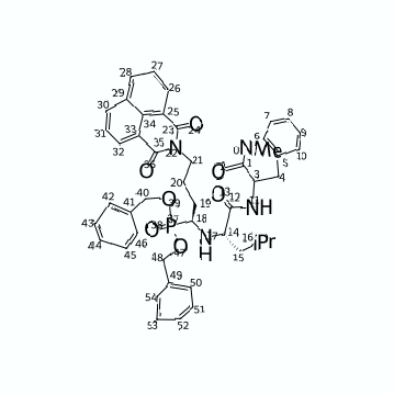 CNC(=O)C(Cc1ccccc1)NC(=O)[C@H](CC(C)C)N[C@H](CCCN1C(=O)c2cccc3cccc(c23)C1=O)P(=O)(OCc1ccccc1)OCc1ccccc1